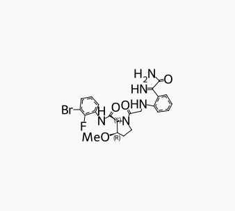 CO[C@@H]1CCN(C(=O)CNc2ccccc2C(=N)C(N)=O)[C@@H]1C(=O)Nc1cccc(Br)c1F